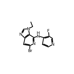 CCn1cnc2cc(Br)nc(Nc3ccncc3F)c21